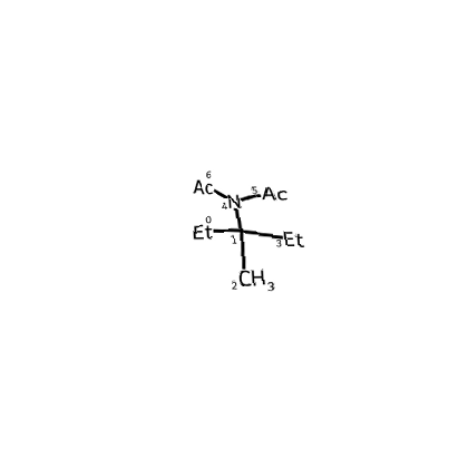 CCC(C)(CC)N(C(C)=O)C(C)=O